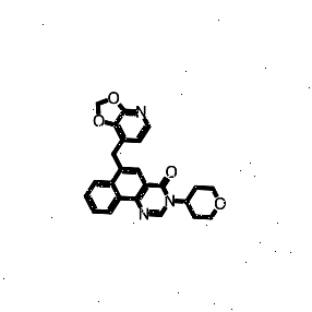 O=c1c2cc(Cc3ccnc4c3OCO4)c3ccccc3c2ncn1C1CCOCC1